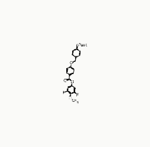 CCCCCC1CCC(COc2ccc(C(=O)Oc3cc(F)c(OC(F)(F)F)c(F)c3)cc2)CC1